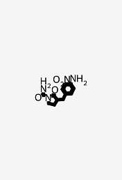 NC(=O)N1CC[C](Cc2ccc(N)c([N+](=O)[O-])c2)C1=O